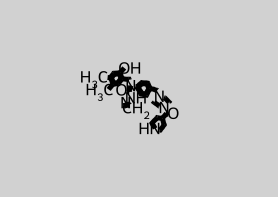 C=NNC(=O)N(Cc1cc(C)c(C)cc1O)c1ccc(CN2CCN(C(=O)C3CCNCC3)CC2)cc1